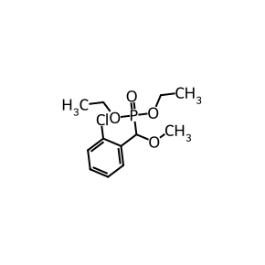 CCOP(=O)(OCC)C(OC)c1ccccc1Cl